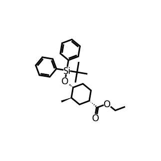 CCOC(=O)[C@H]1CC[C@@H](O[Si](c2ccccc2)(c2ccccc2)C(C)(C)C)[C@H](C)C1